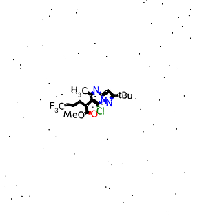 COC(=O)C(CCCC(F)(F)F)c1c(C)nc2cc(C(C)(C)C)nn2c1Cl